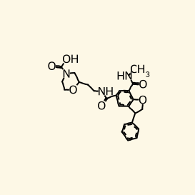 CNC(=O)c1cc(C(=O)NCCC2CN(C(=O)O)CCO2)cc2c1OCC2c1ccccc1